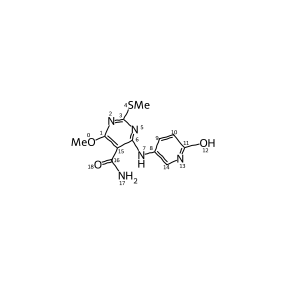 COc1nc(SC)nc(Nc2ccc(O)nc2)c1C(N)=O